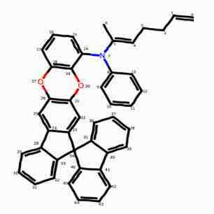 C=CCC/C=C(\C)N(c1ccccc1)c1cccc2c1Oc1cc3c(cc1O2)-c1ccccc1C31c2ccccc2-c2ccccc21